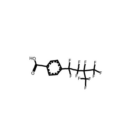 O=C(O)c1ccc(C(F)(F)C(F)(F)C(F)(C(F)(F)F)C(F)(F)F)cc1